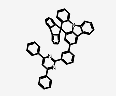 c1ccc(-c2cc(-c3ccccc3)nc(-c3cccc(-c4cc5c6c(c4)c4ccccc4n6-c4ccccc4C54c5ccccc5-c5ccccc54)c3)n2)cc1